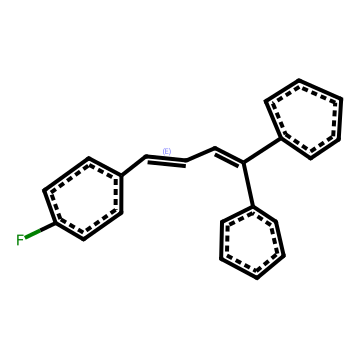 Fc1ccc(/C=C/C=C(c2ccccc2)c2ccccc2)cc1